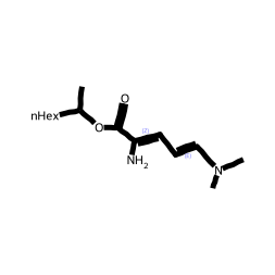 CCCCCCC(C)OC(=O)/C(N)=C/C=C/N(C)C